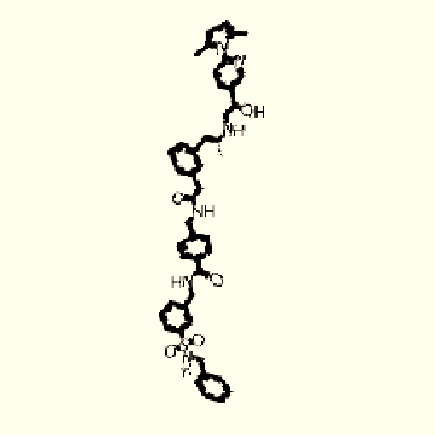 Cc1ccc(C)n1-c1ccc(C(O)CN[C@H](C)Cc2cccc(CC(=O)NCc3ccc(C(=O)NCc4cccc(S(=O)(=O)NCc5ccccc5)c4)cc3)c2)cn1